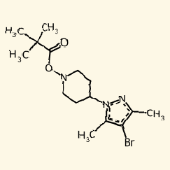 Cc1nn(C2CCN(OC(=O)C(C)(C)C)CC2)c(C)c1Br